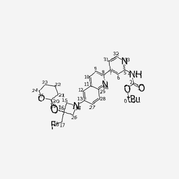 CC(C)(C)OC(=O)Nc1cc(-c2ccc3cc(N4CC(CF)(OC5CCCCO5)C4)ccc3n2)ccn1